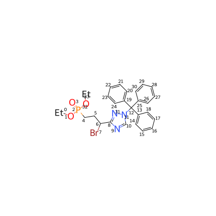 CCOP(=O)(CCC(Br)c1ncn(C(c2ccccc2)(c2ccccc2)c2ccccc2)n1)OCC